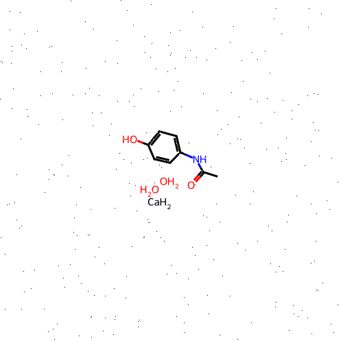 CC(=O)Nc1ccc(O)cc1.O.O.[CaH2]